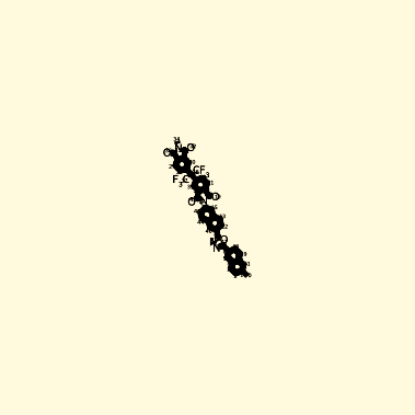 Cc1ccc2cc(-c3nnc(-c4ccc5cc(N6C(=O)c7ccc(C(c8ccc9c(c8)C(=O)N(C)C9=O)(C(F)(F)F)C(F)(F)F)cc7C6=O)ccc5c4)o3)ccc2c1